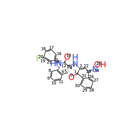 O=C1C(N[C@H](Cc2ccccc2)C(=O)Nc2cccc(F)c2)=CC(=NO)c2ccccc21